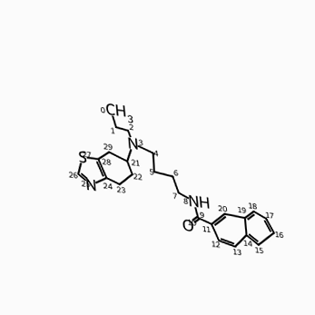 CCCN(CCCCNC(=O)c1ccc2ccccc2c1)C1CCc2ncsc2C1